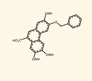 COc1cc2c(C(=O)O)cc3cc(OC)c(OCc4ccccc4)cc3c2cc1OC